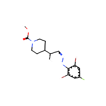 CC(C)(C)OC(=O)N1CCC(C(C#N)/C=N\Nc2c(Br)cc(F)cc2Br)CC1